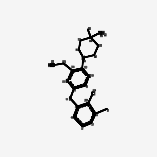 Cc1cccc(Sc2cnc(N3CCC(C)(N)CC3)c(CO)n2)c1Cl